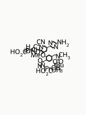 CC(C#N)n1cc(-c2cnc(N)cn2)ccc1=O.CC(C)C.CC(C)C.COc1cc(CN(C)C(=O)OC(C)(C)C)ccc1-c1nnco1.O=C(O)O.O=C(O)O